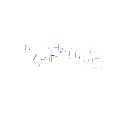 N#Cc1cnc(Nc2cc(N3CCN(C(=O)CN4CCOCC4)CC3)ncn2)s1